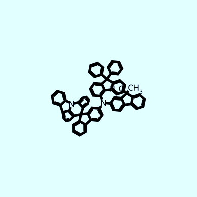 CC1(C)c2ccccc2-c2ccc(N(c3ccc4c(c3)C3(c5ccccc5-4)c4ccccc4-n4c5ccccc5c5cccc3c54)c3cccc4c3-c3ccccc3C4(c3ccccc3)c3ccccc3)cc21